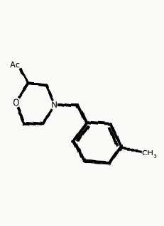 CC(=O)C1CN(CC2=CCCC(C)=C2)CCO1